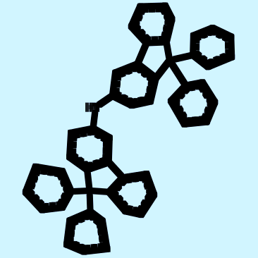 c1ccc(C2(c3ccccc3)c3ccccc3-c3cc(Nc4ccc5c(c4)-c4ccccc4C5(c4ccccc4)c4ccccc4)ccc32)cc1